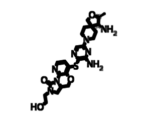 C[C@@H]1OCC2(CCN(c3cnc(Sc4ccnc5c4OCC4CN(CCO)C(=O)N54)c(N)n3)CC2)[C@@H]1N